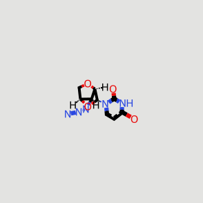 [N-]=[N+]=N[C@H]1[C@H]2OC[C@@H]1O[C@H]2n1ccc(=O)[nH]c1=O